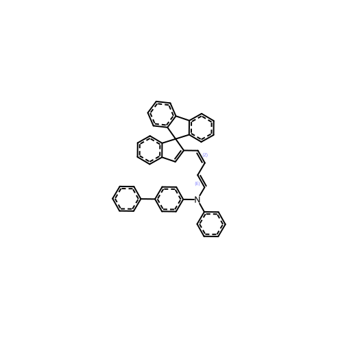 C1=C(/C=C\C=C\N(c2ccccc2)c2ccc(-c3ccccc3)cc2)C2(c3ccccc31)c1ccccc1-c1ccccc12